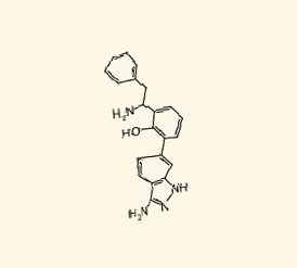 Nc1n[nH]c2cc(-c3cccc(C(N)Cc4ccccc4)c3O)ccc12